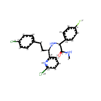 CNC(=O)[C@@H](N[C@H](CCc1ccc(Cl)cc1)c1cccc(Cl)n1)c1ccc(F)cc1